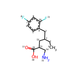 CCC(Cc1ccc(F)cc1F)CC(CN)C(=O)O